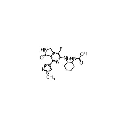 Cn1cc(-c2nc(NC3CCCCC3NC(=O)O)c(F)c3c2C(=O)NC3)cn1